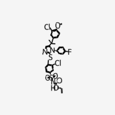 CCOC(=O)NS(=O)(=O)c1ccc(CSc2ncc(C(C)(C)c3ccc(OC)c(Cl)c3)n2-c2ccc(F)cc2)c(Cl)c1